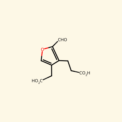 O=Cc1occ(CC(=O)O)c1CCC(=O)O